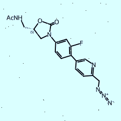 CC(=O)NC[C@H]1CN(c2ccc(-c3ccc(CN=[N+]=[N-])nc3)c(F)c2)C(=O)O1